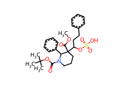 COC(=O)C1(C(CCc2ccccc2)OS(=O)(=O)O)CCCN(C(=O)OC(C)(C)C)C1c1ccccc1